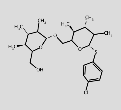 CC1[C@H](OCC2O[C@@H](Sc3ccc(Cl)cc3)C(C)[C@@H](C)[C@@H]2C)OC(CO)[C@@H](C)[C@@H]1C